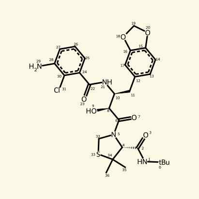 CC(C)(C)NC(=O)[C@H]1N(C(=O)[C@@H](O)[C@H](Cc2ccc3c(c2)OCO3)NC(=O)c2cccc(N)c2Cl)CSC1(C)C